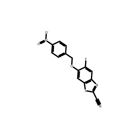 N#Cc1nc2cc(F)c(OCc3ccc([N+](=O)[O-])cc3)cc2s1